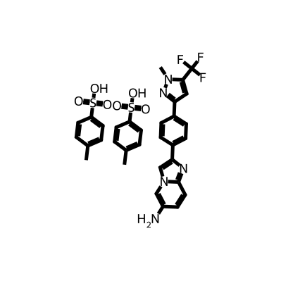 Cc1ccc(S(=O)(=O)O)cc1.Cc1ccc(S(=O)(=O)O)cc1.Cn1nc(-c2ccc(-c3cn4cc(N)ccc4n3)cc2)cc1C(F)(F)F